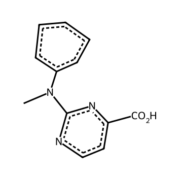 CN(c1ccccc1)c1nccc(C(=O)O)n1